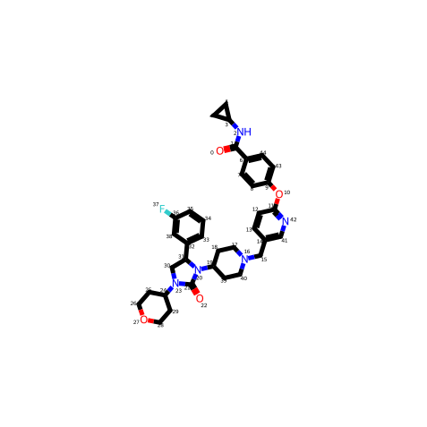 O=C(NC1CC1)c1ccc(Oc2ccc(CN3CCC(N4C(=O)N(C5CCOCC5)CC4c4cccc(F)c4)CC3)cn2)cc1